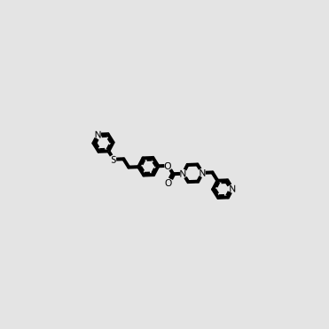 O=C(Oc1ccc(CCSc2ccncc2)cc1)N1CCN(Cc2cccnc2)CC1